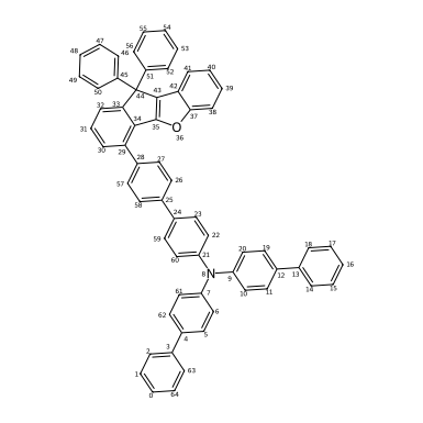 c1ccc(-c2ccc(N(c3ccc(-c4ccccc4)cc3)c3ccc(-c4ccc(-c5cccc6c5-c5oc7ccccc7c5C6(c5ccccc5)c5ccccc5)cc4)cc3)cc2)cc1